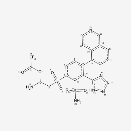 NC(CS(=O)(=O)c1ccc(-c2cccc3cnccc23)c(-c2nnn[nH]2)c1S(N)(=O)=O)OC(=O)C(F)(F)F